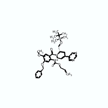 C=CCOC(=O)Nc1cc(OCc2ccccc2)c(OC)cc1C(=O)N1CC=C(c2cncnc2)C[C@H]1CO[Si](C)(C)C(C)(C)C